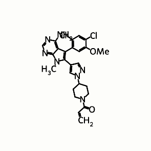 C=CC(=O)N1CCC(n2cc(-c3c(-c4cc(OC)c(Cl)cc4Cl)c4c(N)ncnc4n3C)cn2)CC1